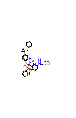 NC(Cc1ccc(C2(Cc3ccccc3)CC2)cc1)(c1cccc(NCC(=O)O)n1)S(=O)(=O)c1ccccn1